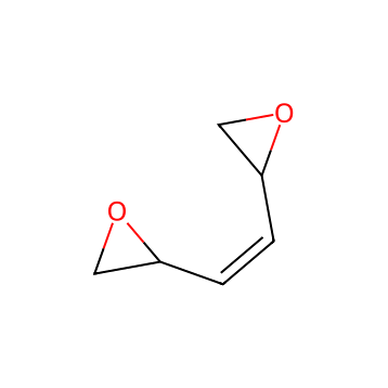 C(=C/C1CO1)/C1CO1